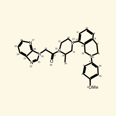 COc1ccc(N2CCc3cccc(N4CCN(C(=O)Cn5cnc6cccnc65)C(C)C4)c3C2)cc1